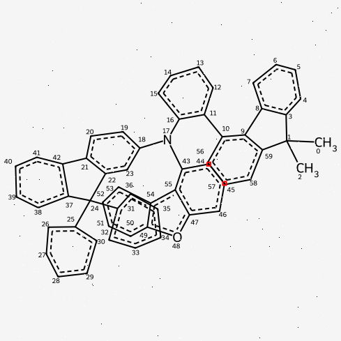 CC1(C)c2ccccc2-c2c(-c3ccccc3N(c3ccc4c(c3)C(c3ccccc3)(c3ccccc3)c3ccccc3-4)c3cccc4oc5ccccc5c34)cccc21